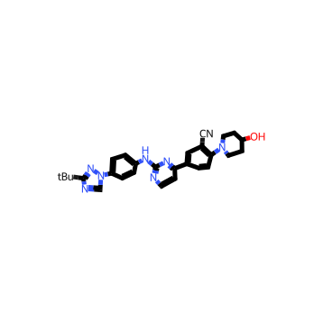 CC(C)(C)c1ncn(-c2ccc(Nc3nccc(-c4ccc(N5CCC(O)CC5)c(C#N)c4)n3)cc2)n1